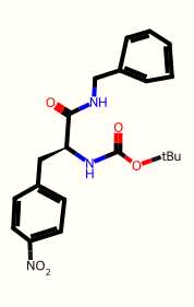 CC(C)(C)OC(=O)N[C@@H](Cc1ccc([N+](=O)[O-])cc1)C(=O)NCc1ccccc1